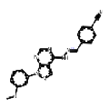 COc1cccc(-n2ncc3c(N/N=C/c4ccc(C#N)cc4)ncnc32)c1